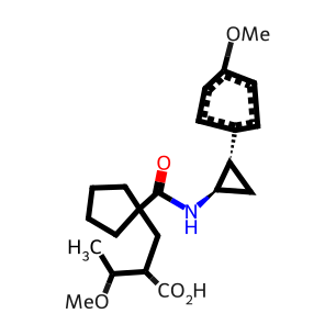 COc1ccc([C@@H]2C[C@H]2NC(=O)C2(CC(C(=O)O)C(C)OC)CCCC2)cc1